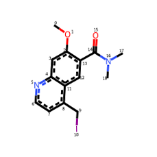 COc1cc2nccc(CI)c2cc1C(=O)N(C)C